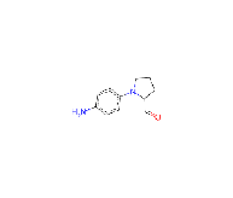 Nc1ccc(N2CCCC2C=O)cc1